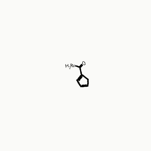 O=[C]([RuH2])C1=CC=CC1